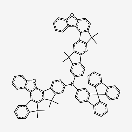 CC1(C)c2cc(N(c3ccc4c(c3)C(C)(C)c3c5c(c6c(oc7ccccc76)c3-4)-c3ccccc3C5(C)C)c3ccc4c(c3)C3(c5ccccc5-c5ccccc53)c3ccccc3-4)ccc2-c2cc3c(cc21)-c1c(ccc2oc4ccccc4c12)C3(C)C